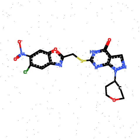 O=c1[nH]c(SCc2nc3cc(Cl)c([N+](=O)[O-])cc3o2)nc2c1cnn2C1CCOCC1